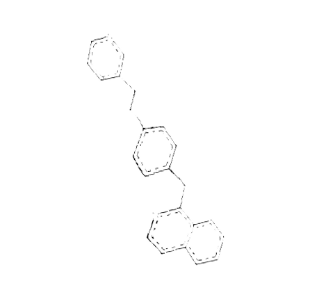 c1cncc(CCc2ccc(Cc3nccc4ccccc34)cc2)c1